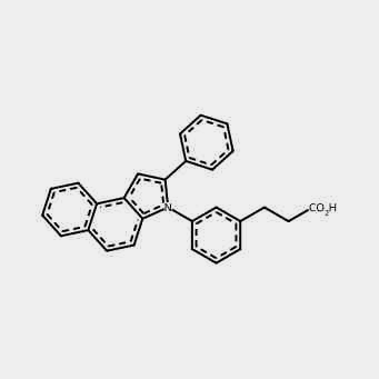 O=C(O)CCc1cccc(-n2c(-c3ccccc3)cc3c4ccccc4ccc32)c1